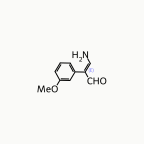 COc1cccc(/C(C=O)=C\N)c1